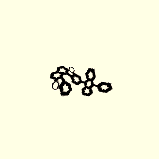 c1ccc(-c2c3ccccc3c(-c3ccc4c(c3)oc3ccc5ccc6oc7ccccc7c6c5c34)c3ccccc23)cc1